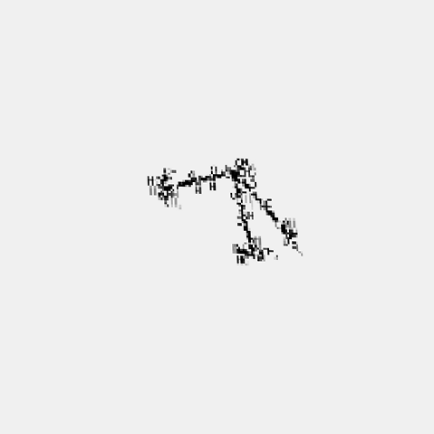 CC(=O)NC[C@@H](O)OCCCCC(=O)NCCCNC(=O)CCOCC(COCCC(=O)NCCCNC(=O)CCCCOC1OC(CO)C(O)C(O)C1NC(C)=O)(COCCC(=O)NCCCNC(=O)CCCCOC1OC(CO)C(O)C(O)C1NC(C)=O)NC(C)(C)C